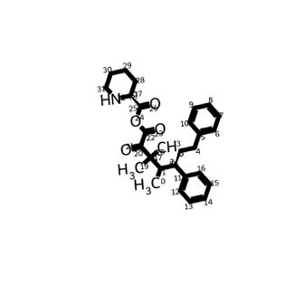 CC([C@@H](CCc1ccccc1)c1ccccc1)C(C)(C)C(=O)C(=O)OC(=O)[C@@H]1CCCCN1